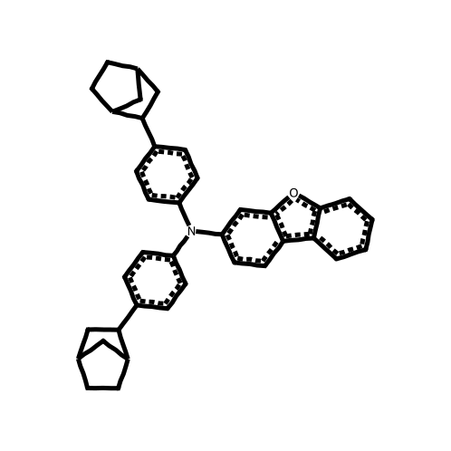 c1ccc2c(c1)oc1cc(N(c3ccc(C4CC5CCC4C5)cc3)c3ccc(C4CC5CCC4C5)cc3)ccc12